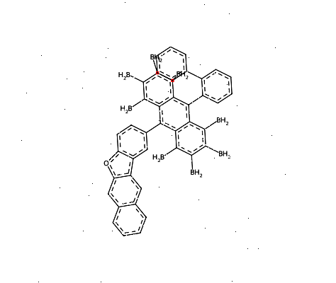 Bc1c(B)c(B)c2c(-c3ccccc3-c3ccccc3)c3c(B)c(B)c(B)c(B)c3c(-c3ccc4oc5cc6ccccc6cc5c4c3)c2c1B